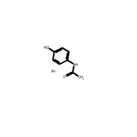 CC(=O)Nc1ccc(O)cc1.[Sn]